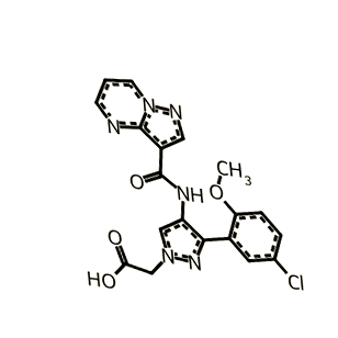 COc1ccc(Cl)cc1-c1nn(CC(=O)O)cc1NC(=O)c1cnn2cccnc12